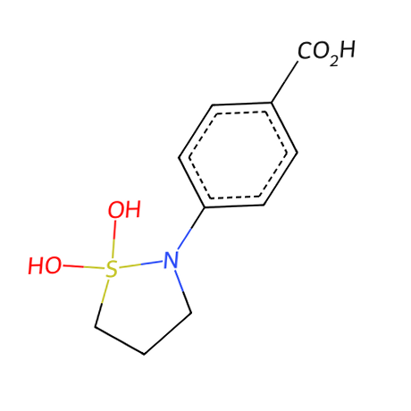 O=C(O)c1ccc(N2CCCS2(O)O)cc1